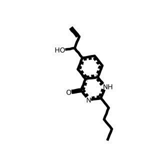 C=CC(O)c1ccc2[nH]c(CCCC)nc(=O)c2c1